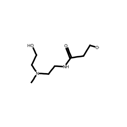 CN(CCO)CCNC(=O)CC[O]